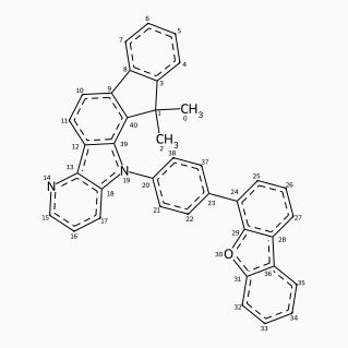 CC1(C)c2ccccc2-c2ccc3c4ncccc4n(-c4ccc(-c5cccc6c5oc5ccccc56)cc4)c3c21